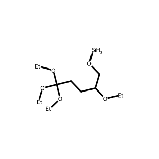 CCOC(CCC(OCC)(OCC)OCC)CO[SiH3]